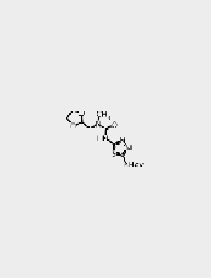 CCCCCCc1nnc(NC(=O)N(C)CC2OCCO2)s1